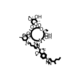 CCCC(C)c1cn(-c2ccc([C@@H](OC)[C@@H](CF)n3cc(CCN(C)[C@@H]4C[C@H](O[C@@H]5[C@@H](C)[C@H](O[C@H]6C[C@@](C)(OC)[C@@H](O)[C@H](C)O6)[C@@H](C)C(=O)O[C@H](CC)[C@@](C)(O)[C@H](O)[C@@H](C)N(C)C[C@H](C)C[C@@]5(C)O)O[C@H](C)C4)nn3)cc2)nn1